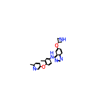 Cc1ccc(Oc2ccc(Nc3ncnc4ccc(OC5CNC5)cc34)cc2C)cn1